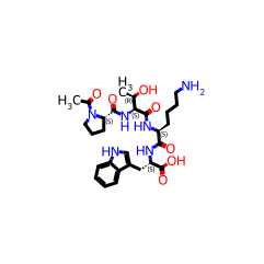 CC(=O)N1CCC[C@H]1C(=O)N[C@H](C(=O)N[C@@H](CCCCN)C(=O)N[C@@H](Cc1c[nH]c2ccccc12)C(=O)O)[C@@H](C)O